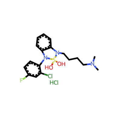 CN(C)CCCCN1c2ccccc2N(c2ccc(F)cc2Cl)S1(O)O.Cl